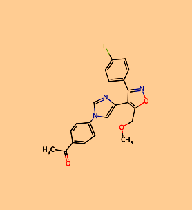 COCc1onc(-c2ccc(F)cc2)c1-c1cn(-c2ccc(C(C)=O)cc2)cn1